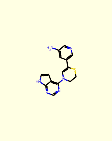 Nc1cncc(C2=CN(c3ncnc4[nH]ccc34)CCS2)c1